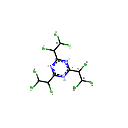 BrC(Br)C(Br)c1nc(C(Br)C(Br)Br)nc(C(Br)C(Br)Br)n1